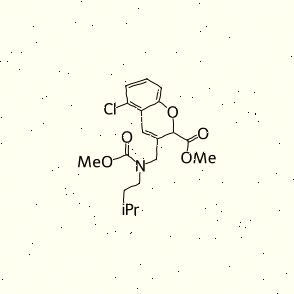 COC(=O)C1Oc2cccc(Cl)c2C=C1CN(CCC(C)C)C(=O)OC